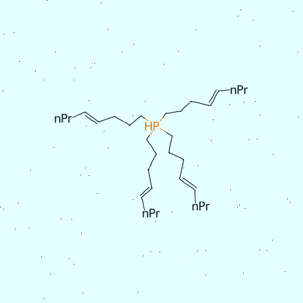 CCCC=CCCC[PH](CCCC=CCCC)(CCCC=CCCC)CCCC=CCCC